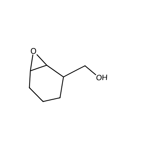 OCC1CCCC2OC12